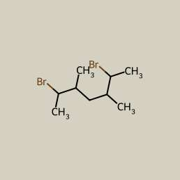 CC(Br)C(C)CC(C)C(C)Br